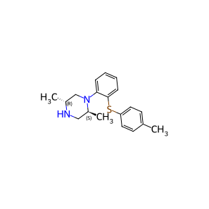 Cc1ccc(Sc2ccccc2N2C[C@@H](C)NC[C@@H]2C)cc1